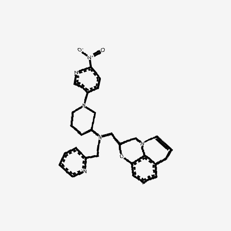 O=[N+]([O-])c1ccc(N2CCCC(N(Cc3ccccn3)CC3CN4C=CCc5cccc(c54)O3)C2)cn1